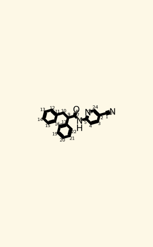 N#Cc1ccc(NC(=O)C(Cc2ccccc2)c2ccccc2)nc1